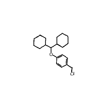 ClCc1ccc(OC(C2CCCCC2)C2CCCCC2)cc1